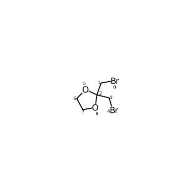 BrCC1(CBr)OCCO1